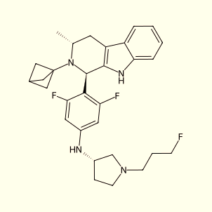 C[C@@H]1Cc2c([nH]c3ccccc23)[C@@H](c2c(F)cc(N[C@H]3CCN(CCCF)C3)cc2F)N1C12CC(C1)C2